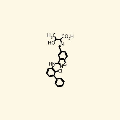 CC(O)C(N=Cc1ccc2snc(Nc3cccc(-c4ccccc4)c3Cl)c2c1)C(=O)O